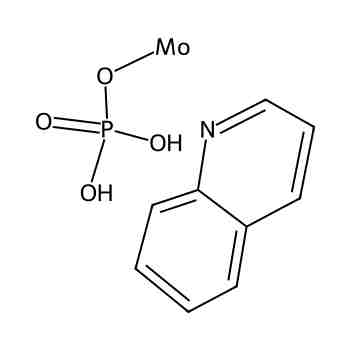 O=P(O)(O)[O][Mo].c1ccc2ncccc2c1